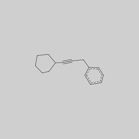 C(#CC1CCCCC1)Cc1ccccc1